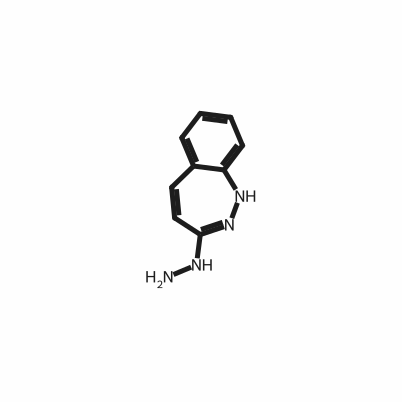 NNC1=NNc2ccccc2C=C1